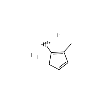 CC1=[C]([Hf+3])CC=C1.[I-].[I-].[I-]